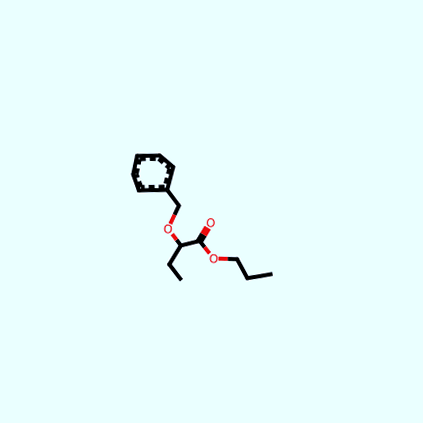 CCCOC(=O)C(CC)OCc1ccccc1